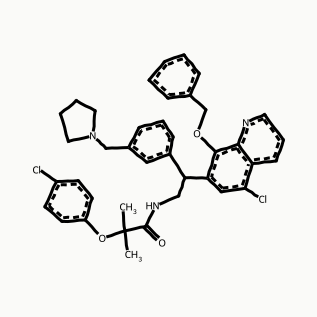 CC(C)(Oc1ccc(Cl)cc1)C(=O)NCC(c1cccc(CN2CCCC2)c1)c1cc(Cl)c2cccnc2c1OCc1ccccc1